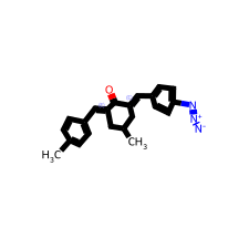 Cc1ccc(/C=C2\CC(C)C/C(=C\c3ccc(N=[N+]=[N-])cc3)C2=O)cc1